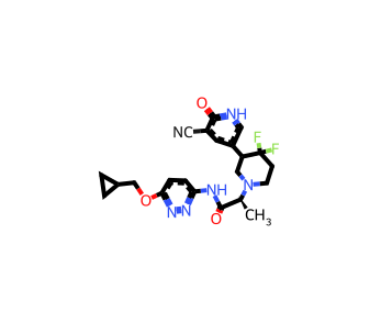 C[C@@H](C(=O)Nc1ccc(OCC2CC2)nn1)N1CCC(F)(F)C(c2c[nH]c(=O)c(C#N)c2)C1